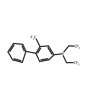 FC(F)(F)CN(CC(F)(F)F)c1ccc(-c2ccccc2)c(C(F)(F)F)c1